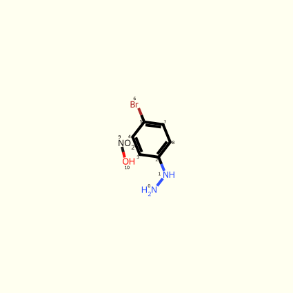 NNc1ccc(Br)cc1.O=[N+]([O-])O